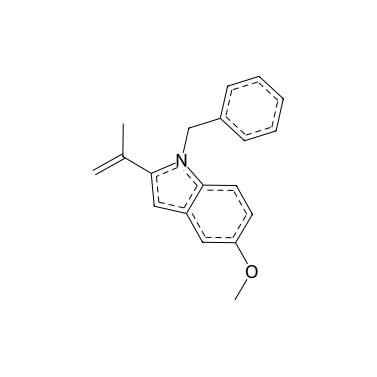 C=C(C)c1cc2cc(OC)ccc2n1Cc1ccccc1